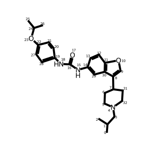 CC(C)CN1CCC(c2coc3ccc(NC(=O)Nc4ccc(OC(C)C)cc4)cc23)CC1